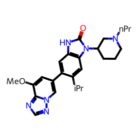 CCCN1CCCC(n2c(=O)[nH]c3cc(-c4cc(OC)c5ncnn5c4)c(C(C)C)cc32)C1